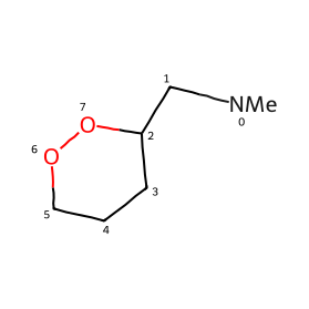 CNCC1CCCOO1